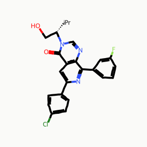 CC(C)[C@@H](CO)n1cnc2c(-c3cccc(F)c3)nc(-c3ccc(Cl)cc3)cc2c1=O